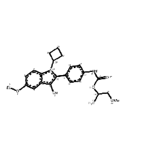 CCOc1ccc2c(c1)c(C#N)c(-c1ccc(NC(=O)OC(C)COC)cc1)n2C1CCC1